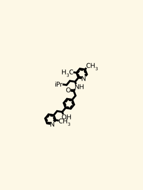 Cc1cnc(C(CCC(C)C)NC(=O)Cc2ccc(C(O)Cc3cccnc3C)cc2)c(C)c1